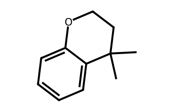 CC1(C)CCOc2ccccc21